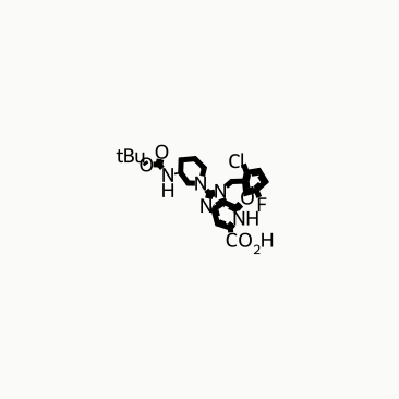 CC(C)(C)OC(=O)N[C@@H]1CCCN(c2nc3cc(C(=O)O)[nH]c(=O)c3n2Cc2cc(F)ccc2Cl)C1